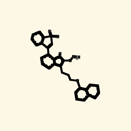 O=C(O)Oc1[nH]c2c(C3=CS(=O)(=O)c4ccccc43)cccc2c1CCCOc1cccc2ccccc12